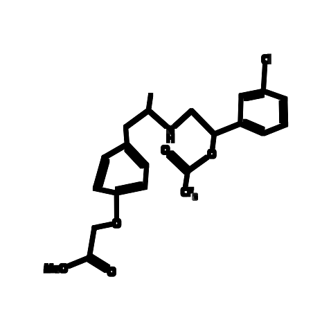 COC(=O)COc1ccc(CC(C)NCC(OC(=O)C(F)(F)F)c2cccc(Cl)c2)cc1